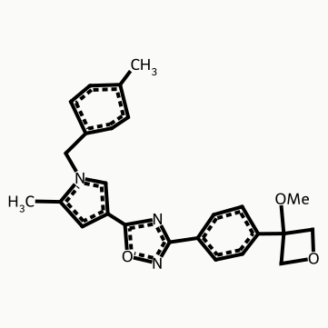 COC1(c2ccc(-c3noc(-c4cc(C)n(Cc5ccc(C)cc5)c4)n3)cc2)COC1